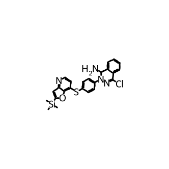 C[Si](C)(C)c1cc2nccc(Sc3ccc(N4N=C(Cl)c5ccccc5C4N)cc3)c2o1